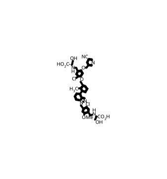 COc1cc(Cn2ncc3c(-c4cccc(COc5cc(OCc6cncc(C#N)c6)c(CN[C@@H](CO)C(=O)O)cc5Cl)c4C)cccc32)c(Cl)cc1CN[C@@H](CO)C(=O)O